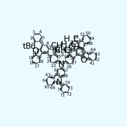 CC(C)(C)c1ccccc1-c1cc2c(c3c1oc1ccccc13)-c1ccc(N(c3ccc4c(c3)C(C)(C)c3c5c(c6c(oc7ccccc76)c3-4)-c3ccccc3C5(C)C)c3ccc4c(c3)c3ccccc3n4-c3ccccc3)cc1C2(C)C